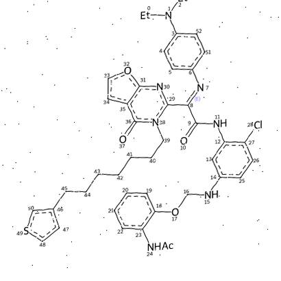 CCN(CC)c1ccc(/N=C(/C(=O)Nc2cc(NCOc3ccccc3NC(C)=O)ccc2Cl)c2nc3occc3c(=O)n2CCCCCCCc2ccsc2)cc1